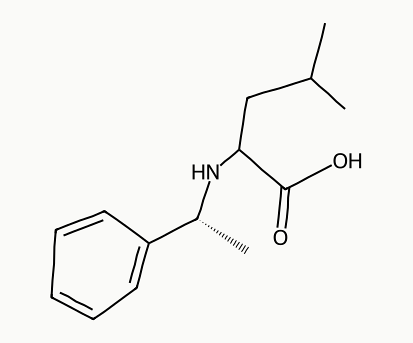 CC(C)CC(N[C@H](C)c1ccccc1)C(=O)O